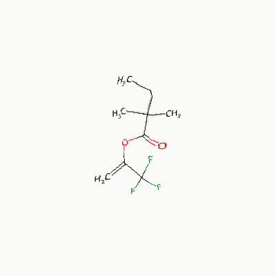 C=C(OC(=O)C(C)(C)CC)C(F)(F)F